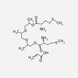 C=CC(=O)O.CSCC[C@H](N)C(=O)OCC(C)OCC(C)OCC(C)OC(=O)[C@@H](N)CCSC